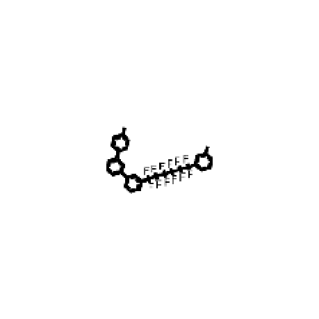 Cc1ccc(-c2cccc(-c3cccc(C(F)(F)C(F)(F)C(F)(F)C(F)(F)C(F)(F)C(F)(F)c4cccc(C)c4)c3)c2)cc1